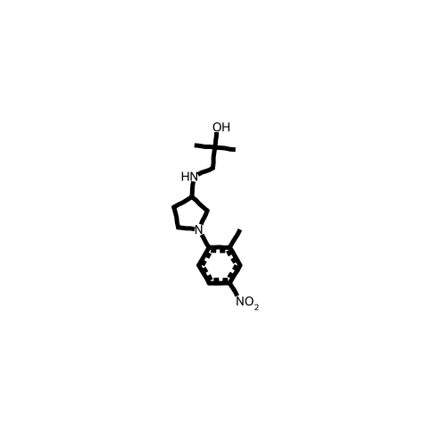 Cc1cc([N+](=O)[O-])ccc1N1CCC(NCC(C)(C)O)C1